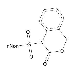 CCCCCCCCCS(=O)(=O)N1C(=O)OCc2ccccc21